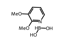 COc1cccnc1OC.OBO